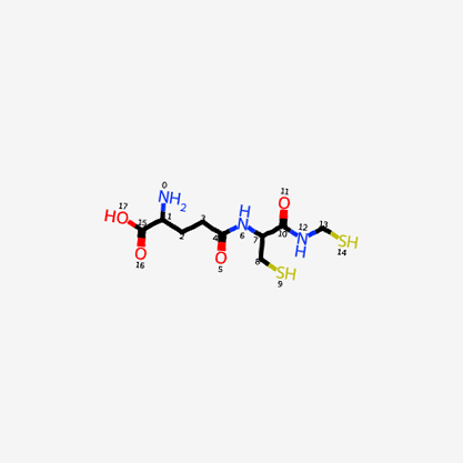 NC(CCC(=O)NC(CS)C(=O)NCS)C(=O)O